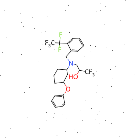 OC(CN(Cc1ccccc1C(F)(F)C(F)(F)F)C1CCCC(Oc2ccccc2)C1)C(F)(F)F